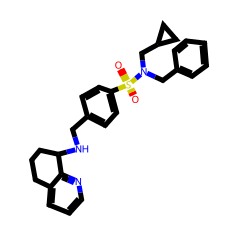 O=S(=O)(c1ccc(CNC2CCCc3cccnc32)cc1)N(Cc1ccccc1)CC1CC1